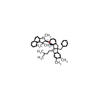 Cc1cc2c(cc1C)C(Cc1ccccc1)(Cc1ccccc1)C(/C=C/C=C1/N(C)c3ccc4ccccc4c3C1(C)C)=[N+]2CCC(C)C